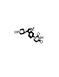 Cn1cc(N2CCNCC2)c2ccc(N3CCC(=O)NC3=O)cc21